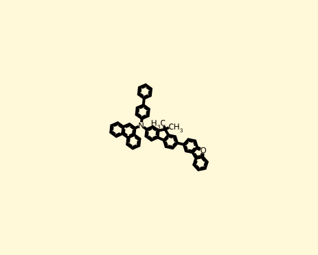 CC1(C)c2cc(-c3ccc4oc5ccccc5c4c3)ccc2-c2ccc(N(c3ccc(-c4ccccc4)cc3)c3cc4ccccc4c4ccccc34)cc21